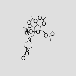 CC(=O)OC[C@H]1O[C@](O)(CCN2CCN(OC=O)CC2)[C@H](OC(C)=O)[C@@H](OC(C)=O)[C@@H]1OC(C)=O